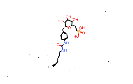 C#CCCCCNC(=O)Nc1ccc(C[C@H]2O[C@H](CCP(=O)(O)O)[C@@H](O)[C@H](O)[C@@H]2O)cc1